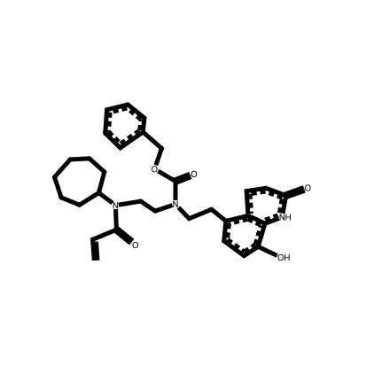 C=CC(=O)N(CCN(CCc1ccc(O)c2[nH]c(=O)ccc12)C(=O)OCc1ccccc1)C1CCCCCC1